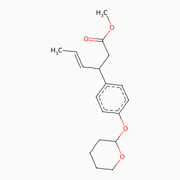 CC=CC(CC(=O)OC)c1ccc(OC2CCCCO2)cc1